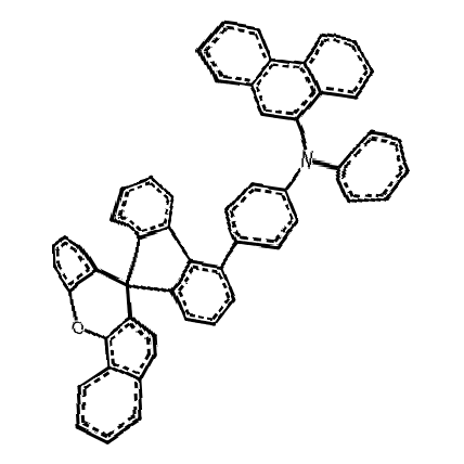 c1ccc(N(c2ccc(-c3cccc4c3-c3ccccc3C43c4ccccc4Oc4c3ccc3ccccc43)cc2)c2cc3ccccc3c3ccccc23)cc1